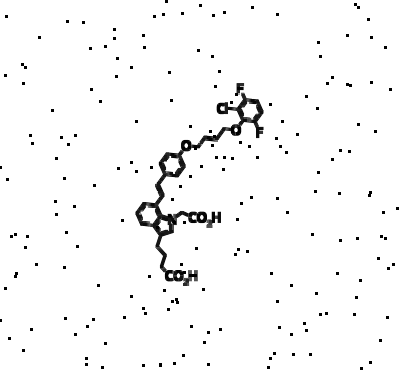 O=C(O)CCCc1cn(CC(=O)O)c2c(C=Cc3ccc(OC/C=C/COc4c(F)ccc(F)c4Cl)cc3)cccc12